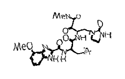 CNC(=O)C(=O)C(CN1CCNC1=O)NC(=O)C(CC(C)C)NC(=O)c1nc2c(OC)cccc2[nH]1